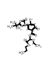 CCCOC(=O)C(OCC)OC(=O)c1cc(-n2nc(C(C)(C)C)oc2=O)c(F)cc1Cl